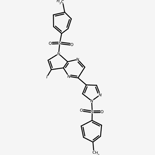 Cc1ccc(S(=O)(=O)n2cc(-c3cnc4c(n3)c(I)cn4S(=O)(=O)c3ccc(C)cc3)cn2)cc1